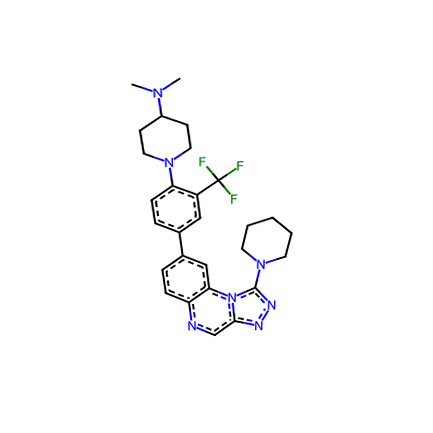 CN(C)C1CCN(c2ccc(-c3ccc4ncc5nnc(N6CCCCC6)n5c4c3)cc2C(F)(F)F)CC1